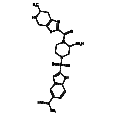 CC1Cc2nc(C(=O)N3CCN(S(=O)(=O)c4cc5cc(C(=N)N)ccc5[nH]4)CC3C(=O)O)sc2CN1